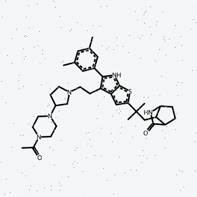 CC(=O)N1CCN(C2CCN(CCc3c(-c4cc(C)cc(C)c4)[nH]c4sc(C(C)(C)CC5C6CCC5C(=O)N6)cc34)C2)CC1